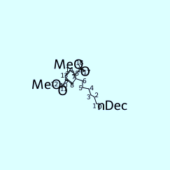 CCCCCCCCCCCCCCCCc1cc(C(=O)OC)ccc1C(=O)OC